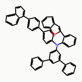 c1ccc(-c2cc(-c3ccccc3)cc(N(c3ccc(-c4ccc(-c5cccc6ccccc56)cc4)cc3)c3ccccc3-c3cc4ccccc4o3)c2)cc1